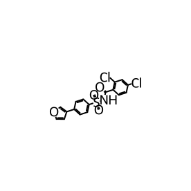 O=C(NS(=O)(=O)c1ccc(-c2ccoc2)cc1)c1ccc(Cl)cc1Cl